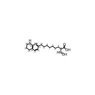 O=C(O)C(CCCCCCCc1ccc2c(n1)NCCC2)NO